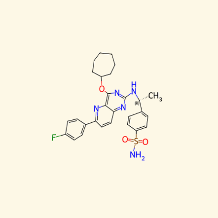 C[C@@H](Nc1nc(OC2CCCCCC2)c2nc(-c3ccc(F)cc3)ccc2n1)c1ccc(S(N)(=O)=O)cc1